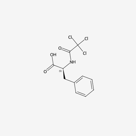 O=C(O)[C@H](Cc1ccccc1)NC(=O)C(Cl)(Cl)Cl